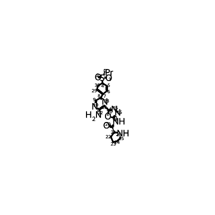 CC(C)S(=O)(=O)C1C=CC(c2cnc(N)c(-c3nnc(NC(=O)[C@@H]4CCCCN4)o3)n2)=CC1